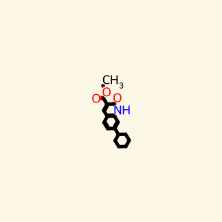 CCOC(=O)c1cc2ccc(C3CCCCC3)cc2[nH]c1=O